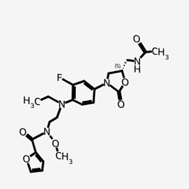 CCN(CCN(OC)C(=O)c1ccco1)c1ccc(N2C[C@H](CNC(C)=O)OC2=O)cc1F